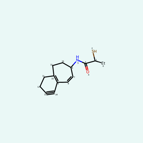 CCC(S)C(=O)NC1C=CC2=C(CCC#C2)CC1